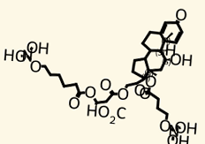 C[C@]12C=CC(=O)C=C1CCC1C3CC[C@](OC(=O)CCCON(O)O)(C(=O)COC(=O)CC(OC(=O)CCCCCON(O)O)C(=O)O)[C@@]3(C)C[C@H](O)[C@@H]12